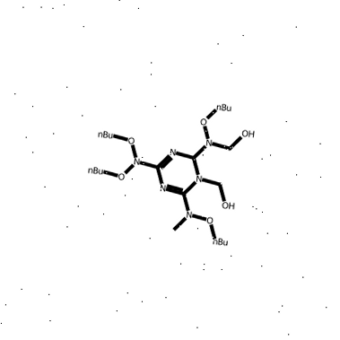 CCCCON(C)C1=NC(N(OCCCC)OCCCC)=NC(N(CO)OCCCC)N1CO